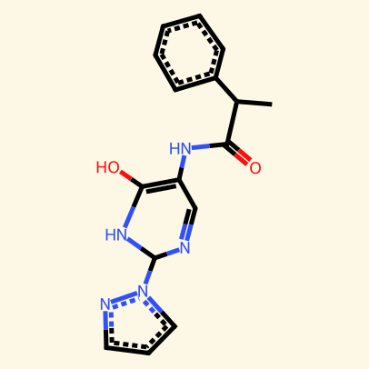 CC(C(=O)NC1=C(O)NC(n2cccn2)N=C1)c1ccccc1